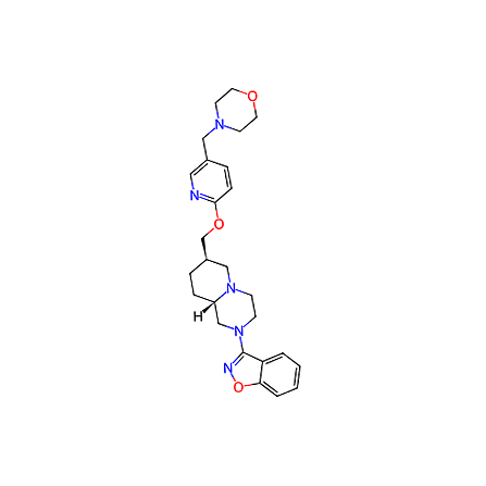 c1ccc2c(N3CCN4C[C@H](COc5ccc(CN6CCOCC6)cn5)CC[C@H]4C3)noc2c1